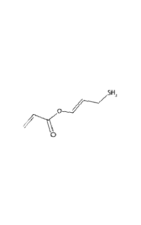 C=CC(=O)OC=CC[SiH3]